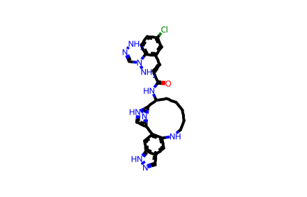 N/N=C\N(N)c1ccc(Cl)cc1/C=C/C(=O)NC1CCCCCNc2cc3cn[nH]c3cc2-c2c[nH]c1n2